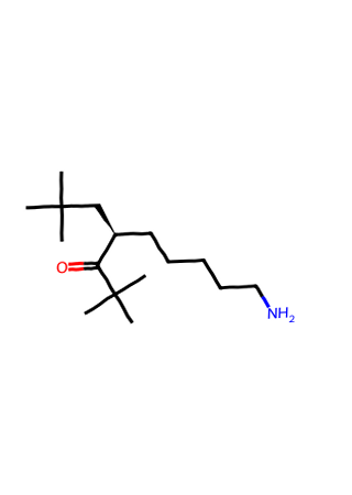 CC(C)(C)C[C@@H](CCCCCN)C(=O)C(C)(C)C